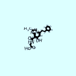 Cc1nc2c(C(=O)NCC(=O)O)c(O)cc(CCc3ccccc3)n2n1